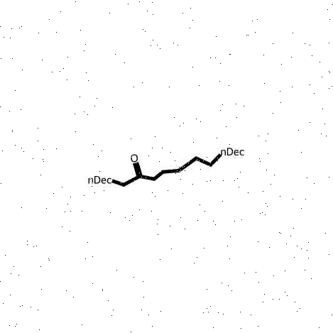 CCCCCCCCCCCCCCCC(=O)CCCCCCCCCCC